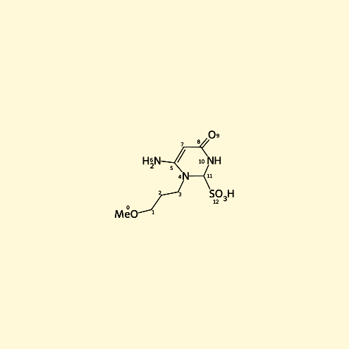 COCCCN1C(N)=CC(=O)NC1S(=O)(=O)O